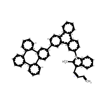 C=C/C=C\c1c(C)n(-c2ccc3c4ccccc4c4ccc(-c5ccc6c(c5)-c5ccccc5-c5ccccc5-c5ccccc5-6)cc4c3c2)c2ccccc12